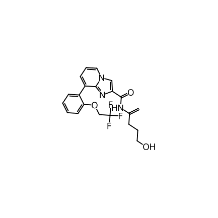 C=C(CCCO)NC(=O)c1cn2cccc(-c3ccccc3OCC(F)(F)F)c2n1